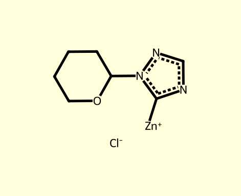 [Cl-].[Zn+][c]1ncnn1C1CCCCO1